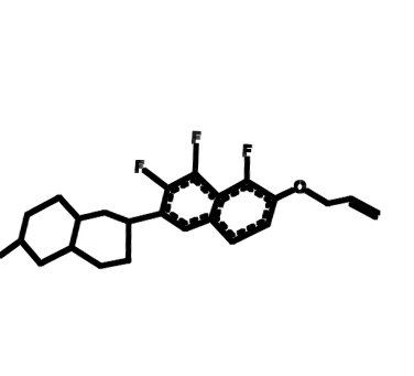 C=CCOc1ccc2cc(C3CCC4CC(C)CCC4C3)c(F)c(F)c2c1F